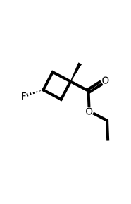 CCOC(=O)[C@]1(C)C[C@H](F)C1